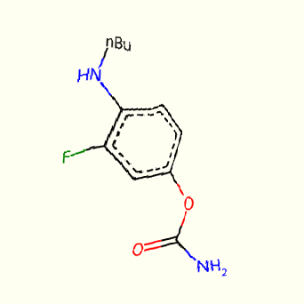 CCCCNc1ccc(OC(N)=O)cc1F